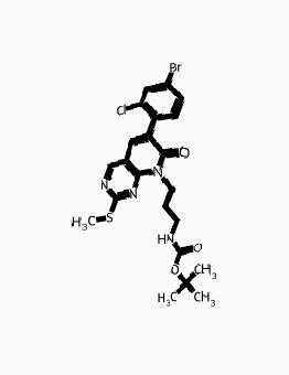 CSc1ncc2cc(-c3ccc(Br)cc3Cl)c(=O)n(CCCNC(=O)OC(C)(C)C)c2n1